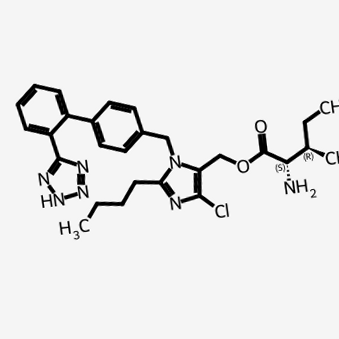 CCCCc1nc(Cl)c(COC(=O)[C@@H](N)[C@H](C)CC)n1Cc1ccc(-c2ccccc2-c2nn[nH]n2)cc1